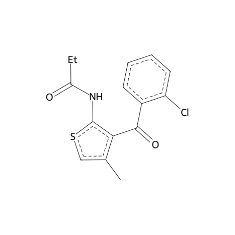 CCC(=O)Nc1scc(C)c1C(=O)c1ccccc1Cl